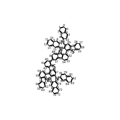 c1ccc2cc(N3c4cc5ccccc5cc4B4c5c3cc3c(sc6ccccc63)c5-c3cccc5c6cc(-c7cccc8c7sc7cc9c%10c(c78)-c7cccc8c%11ccccc%11n(c78)B%10c7cc8ccccc8cc7N9c7ccc8ccccc8c7)ccc6n4c35)ccc2c1